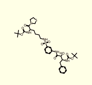 CC(C)(C)OC(=O)NC(CCCCNS(=O)(=O)c1cccc(NC(=O)C(O)C(Cc2ccccc2)NC(=O)OC(C)(C)C)c1)C(=O)N1CCSC1